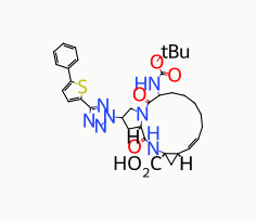 CC(C)(C)OC(=O)N[C@@H]1CCCCC/C=C\[C@@H]2C[C@]2(C(=O)O)NC(=O)[C@@H]2CC(n3nnc(-c4ccc(-c5ccccc5)s4)n3)CN2C1=O